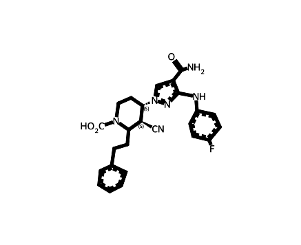 N#C[C@H]1C(CCc2ccccc2)N(C(=O)O)CC[C@@H]1n1cc(C(N)=O)c(Nc2ccc(F)cc2)n1